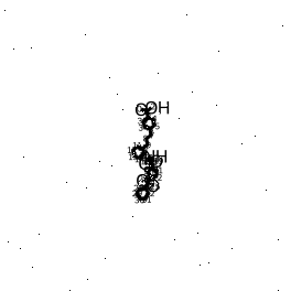 O=C(O)c1ccc(CCCc2ccccc2NS(=O)(=O)c2ccc(S(=O)(=O)c3ccccc3)s2)cc1